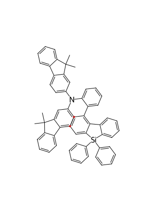 CC1(C)c2ccccc2-c2ccc(N(c3ccc4c(c3)C(C)(C)c3ccccc3-4)c3ccccc3-c3cccc4c3-c3ccccc3[Si]4(c3ccccc3)c3ccccc3)cc21